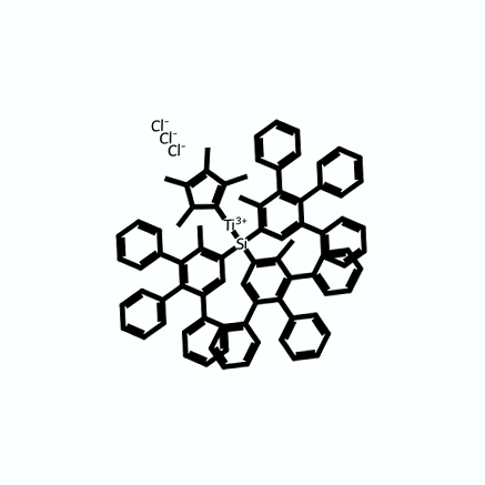 CC1=C(C)C(C)[C]([Ti+3][Si](c2cc(-c3ccccc3)c(-c3ccccc3)c(-c3ccccc3)c2C)(c2cc(-c3ccccc3)c(-c3ccccc3)c(-c3ccccc3)c2C)c2cc(-c3ccccc3)c(-c3ccccc3)c(-c3ccccc3)c2C)=C1C.[Cl-].[Cl-].[Cl-]